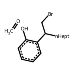 C=O.CCCCCCCC(CBr)c1ccccc1O